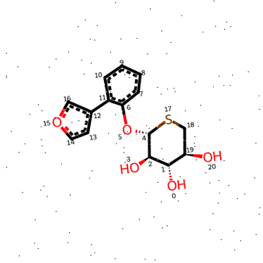 O[C@@H]1[C@@H](O)[C@H](Oc2ccccc2-c2ccoc2)SC[C@H]1O